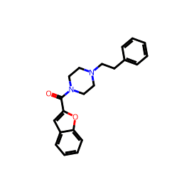 O=C(c1cc2ccccc2o1)N1CCN(CCc2ccccc2)CC1